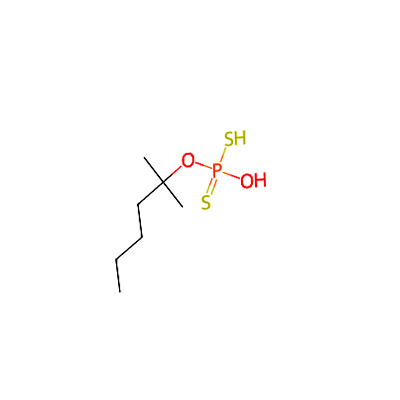 CCCCC(C)(C)OP(O)(=S)S